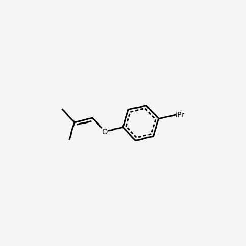 CC(C)=COc1ccc(C(C)C)cc1